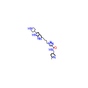 Cc1ccc(CNC(=O)c2cn(CCCCc3cc4cc(C5CCNCC5)[nH]c4nn3)nn2)cn1